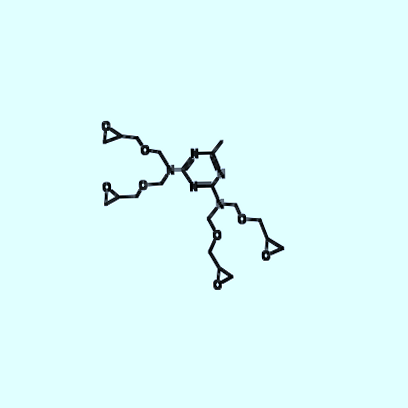 Cc1nc(N(COCC2CO2)COCC2CO2)nc(N(COCC2CO2)COCC2CO2)n1